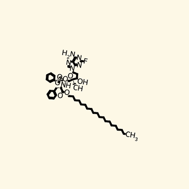 C#C[C@]1(CO[P@](=O)(N[C@@H](Cc2ccccc2)C(=O)OCCCCCCCCCCCCCCCCCCCC)Oc2ccccc2)O[C@@H](n2cnc3c(N)nc(F)nc32)C[C@@H]1O